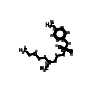 CCOCCN(C)CCCS(=O)(=O)Cc1ccc(C)cc1